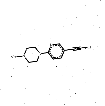 CC#Cc1ccc(N2CCN(CCC)CC2)nc1